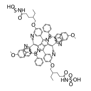 CCC(CCC(=O)NSO)COc1ccc(-c2c3/c(=C(\C#N)c4nc5cc(OC)ccc5s4)n(B(c4ccccc4)c4ccccc4)c(-c4ccc(OCC(CC)CCC(=O)NS(=O)(=O)O)cc4)c3/c(=C(\C#N)c3nc4cc(OC)ccc4s3)n2B(c2ccccc2)c2ccccc2)cc1